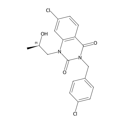 C[C@@H](O)Cn1c(=O)n(Cc2ccc(Cl)cc2)c(=O)c2ccc(Cl)cc21